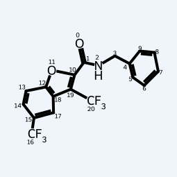 O=C(NCc1ccccc1)c1oc2ccc(C(F)(F)F)cc2c1C(F)(F)F